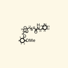 COc1ccccc1OCC1COC(CSCC(=O)NCc2cccnc2)O1